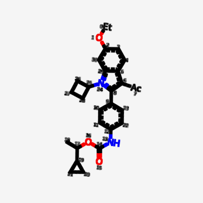 CCOc1ccc2c(C(C)=O)c(-c3ccc(NC(=O)OC(C)C4CC4)cc3)n(C3CCC3)c2c1